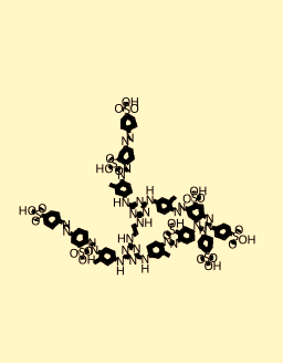 Cc1cc(Nc2nc(NCCNc3nc(Nc4ccc(N=Nc5ccc(N=Nc6ccc(S(=O)(=O)O)cc6)cc5S(=O)(=O)O)c(C)c4)nc(Nc4ccc(N=Nc5ccc(N=Nc6ccc(S(=O)(=O)O)cc6)cc5S(=O)(=O)O)c(C)c4)n3)nc(Nc3ccc(N=Nc4ccc(N=Nc5ccc(S(=O)(=O)O)cc5)cc4S(=O)(=O)O)c(C)c3)n2)ccc1N=Nc1ccc(N=Nc2ccc(S(=O)(=O)O)cc2)cc1S(=O)O